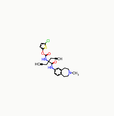 C#CCC(CC#C)(NC(=O)Oc1ccc(Cl)s1)C(=O)Nc1ccc2c(c1)CCN(C)CC2